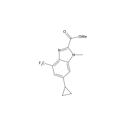 COC(=O)c1nc2c(C(F)(F)F)cc(C3CC3)cc2n1C